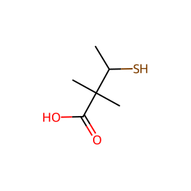 CC(S)C(C)(C)C(=O)O